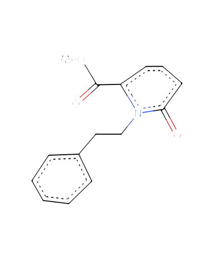 COC(=O)c1cccc(=O)n1CCc1ccccc1